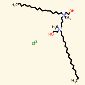 CCCCCCCCCCCCCCCCCC[N+](C)(CCO)CCCC[N+](C)(CCO)CCCCCCCCCCCCCCCCCC.[Cl-].[Cl-]